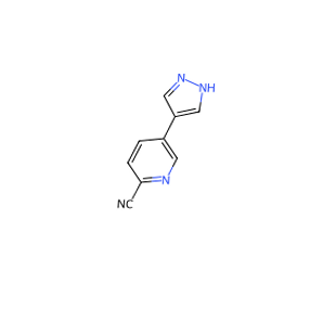 N#Cc1ccc(-c2cn[nH]c2)cn1